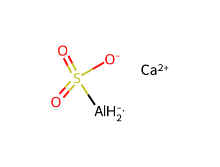 O=[S](=O)([O-])[AlH2-].[Ca+2]